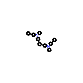 C1=CC(c2ccc(N(c3ccccc3)c3ccc(-c4ccccc4)cc3)cc2)=CC(c2ccc(N(c3ccccc3)c3ccc(-c4ccccc4)cc3)cc2)C1